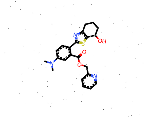 CN(C)c1ccc(-c2nc3c(s2)C(O)CCC3)c(C(=O)OCc2ccccn2)c1